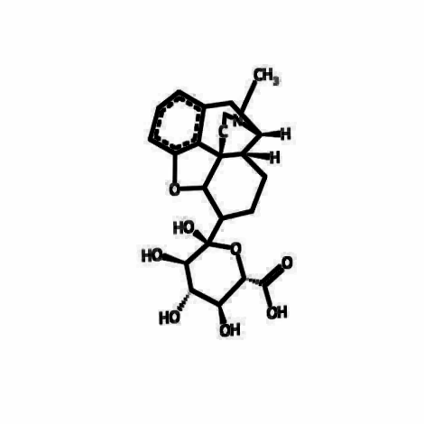 CN1CC[C@]23c4c5cccc4OC2C([C@]2(O)O[C@H](C(=O)O)[C@@H](O)[C@H](O)[C@H]2O)CC[C@H]3[C@H]1C5